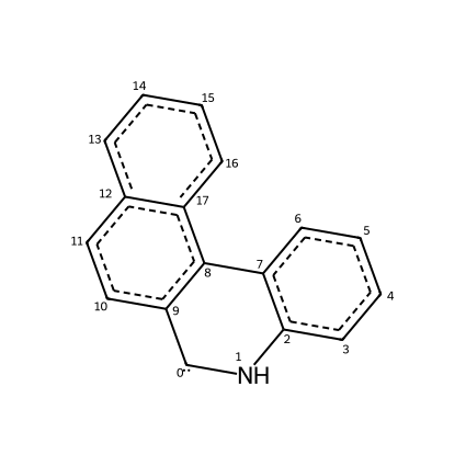 [C]1Nc2ccccc2-c2c1ccc1ccccc21